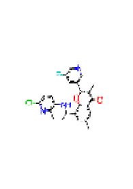 Cc1cc(C(C)Nc2ccc(Cl)nc2C)c2oc(-c3cncc(F)c3)c(C)c(=O)c2c1